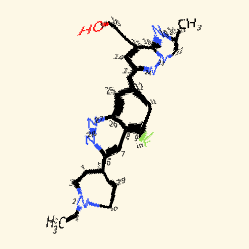 CCN1CCC(c2cc3c(F)cc(-c4cc(CO)c5nc(C)cn5n4)cc3nn2)CC1